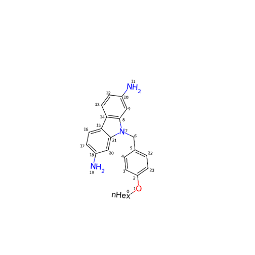 CCCCCCOc1ccc(Cn2c3cc(N)ccc3c3ccc(N)cc32)cc1